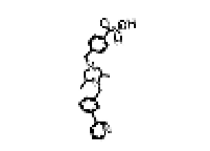 CC1CN(Cc2ccc(C(=O)NO)cc2)CC(C)N1Cc1cccc(-c2cccnc2)c1